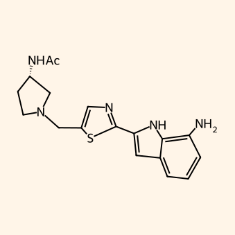 CC(=O)N[C@H]1CCN(Cc2cnc(-c3cc4cccc(N)c4[nH]3)s2)C1